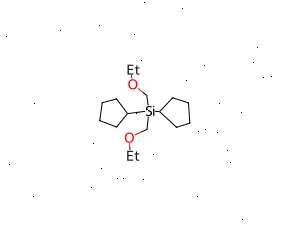 CCOC[Si](COCC)(C1CCCC1)C1CCCC1